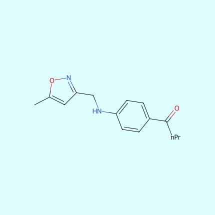 CCCC(=O)c1ccc(NCc2cc(C)on2)cc1